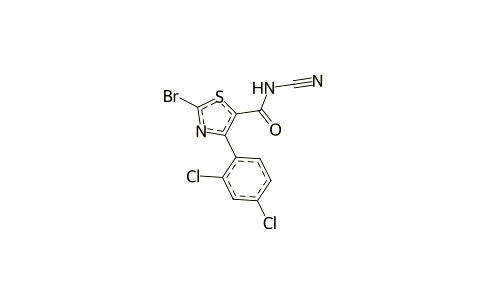 N#CNC(=O)c1sc(Br)nc1-c1ccc(Cl)cc1Cl